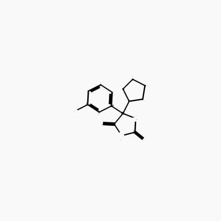 S=C1NC(c2cccc(Br)c2)(C2CCCC2)C(=S)S1